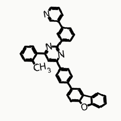 Cc1ccccc1-c1cc(-c2ccc(-c3ccc4oc5ccccc5c4c3)cc2)nc(-c2cccc(-c3cccnc3)c2)n1